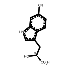 N#Cc1ccc2c(C[C@H](O)C(=O)O)c[nH]c2c1